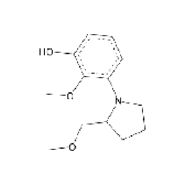 COCC1CCCN1c1cccc(O)c1OC